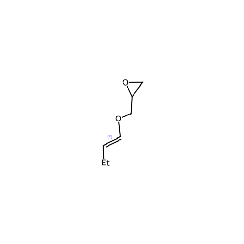 CC/C=C/OCC1CO1